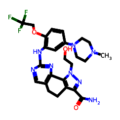 CN1CCN(c2ccc(OCC(F)(F)F)c(Nc3ncc4c(n3)-c3c(c(C(N)=O)nn3CCO)CC4)c2)CC1